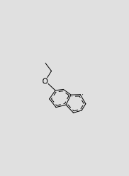 CCOc1ccc2ccc[c]c2c1